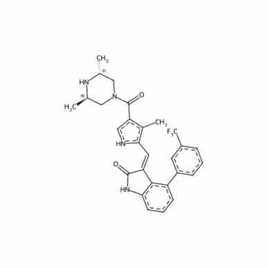 Cc1c(C(=O)N2C[C@@H](C)N[C@H](C)C2)c[nH]c1C=C1C(=O)Nc2cccc(-c3cccc(C(F)(F)F)c3)c21